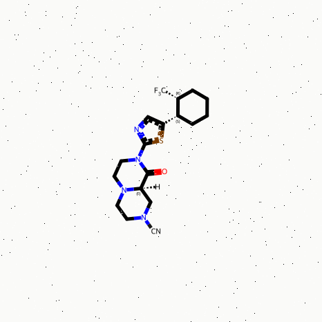 N#CN1CCN2CCN(c3ncc([C@H]4CCCC[C@H]4C(F)(F)F)s3)C(=O)[C@H]2C1